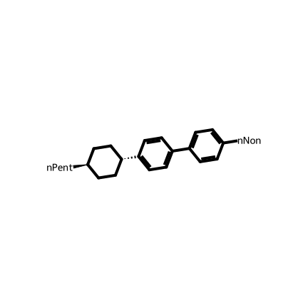 CCCCCCCCCc1ccc(-c2ccc([C@H]3CC[C@H](CCCCC)CC3)cc2)cc1